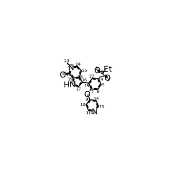 CCS(=O)(=O)c1ccc(Oc2ccncc2)c(-c2c[nH]c3c(=O)n(C)ccc23)c1